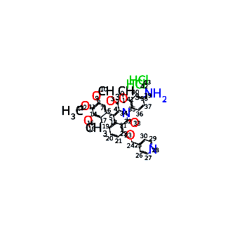 COC(=O)c1c(-c2cc(OC)c(OC)c(OC)c2)c2cccc(OCc3ccncc3)c2c(=O)n1-c1ccc(N)cc1.Cl.Cl